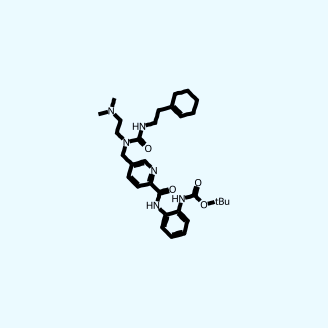 CN(C)CCN(Cc1ccc(C(=O)Nc2ccccc2NC(=O)OC(C)(C)C)nc1)C(=O)NCCC1=CCCCC1